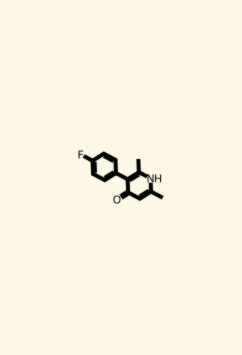 Cc1cc(=O)c(-c2ccc(F)cc2)c(C)[nH]1